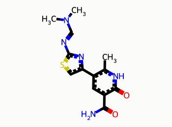 Cc1[nH]c(=O)c(C(N)=O)cc1-c1csc(N=CN(C)C)n1